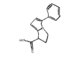 O=C(O)C1CCn2c(-c3ccccc3)ccc21